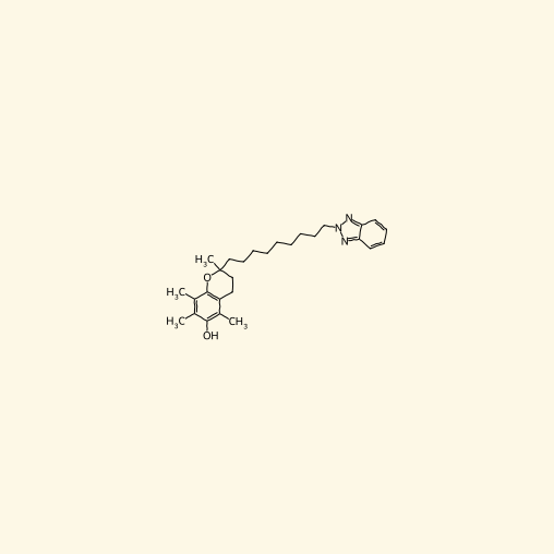 Cc1c(C)c2c(c(C)c1O)CCC(C)(CCCCCCCCCn1nc3ccccc3n1)O2